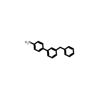 Nc1ccc(-c2cccc(Cc3ccccc3)c2)cc1